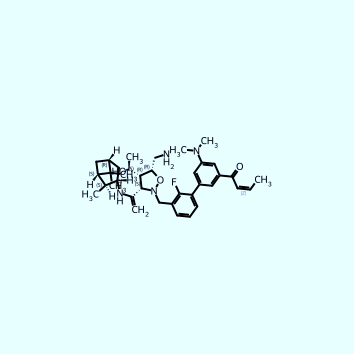 C=C(N[C@H]1C[C@H]2C[C@@H]([C@@H]1C)C2(C)C)[C@@H]1[C@H]([C@H](C)O)[C@H](CN)ON1Cc1cccc(-c2cc(C(=O)/C=C\C)cc(N(C)C)c2)c1F